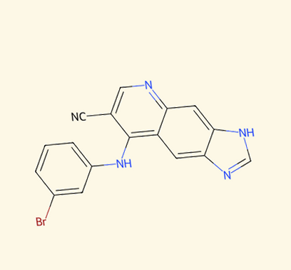 N#Cc1cnc2cc3[nH]cnc3cc2c1Nc1cccc(Br)c1